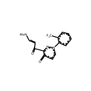 CNC=CC(=O)c1nn(-c2ccccc2C(F)(F)F)ccc1=O